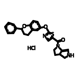 Cl.O=C(c1cnc(Oc2ccc3c(c2)CCC(c2ccccc2)O3)s1)N1CCC2CNC=C21